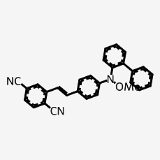 CON(c1ccc(C=Cc2cc(C#N)ccc2C#N)cc1)c1ccccc1-c1ccccc1